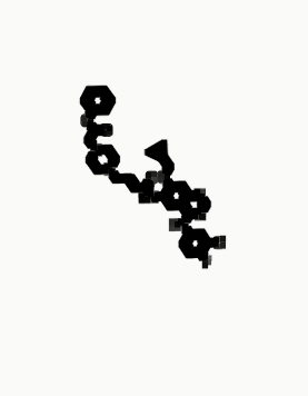 O=C(C=CCN1CCN(CC(=O)Oc2ccccc2)CC1)Nc1cc2c(Nc3ccc(F)c(Cl)c3)ncnc2cc1OCC1CC1